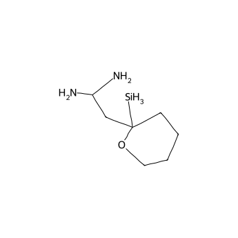 NC(N)CC1([SiH3])CCCCO1